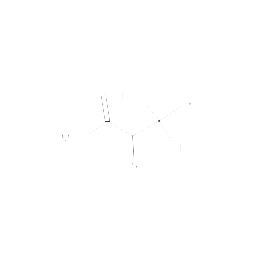 COC(=O)C(N)C(C)(C)O